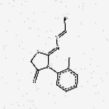 Cc1ccccc1N1C(=O)CS/C1=N\N=C\C(C)C